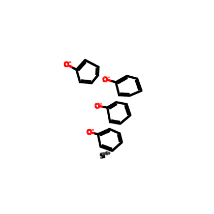 [O-]c1ccccc1.[O-]c1ccccc1.[O-]c1ccccc1.[O-]c1ccccc1.[Si+4]